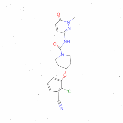 Cn1nc(NC(=O)N2CCC(Oc3cccc(C#N)c3Cl)CC2)ccc1=O